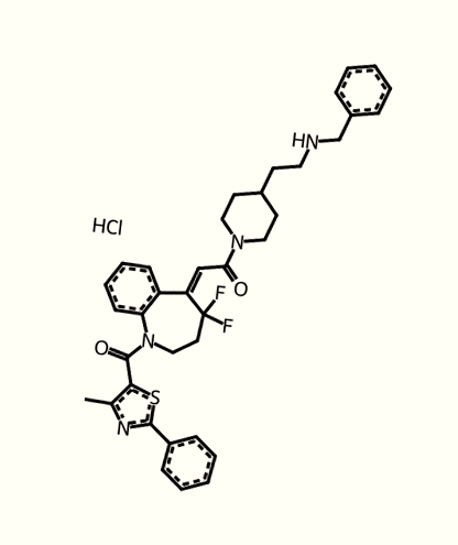 Cc1nc(-c2ccccc2)sc1C(=O)N1CCC(F)(F)C(=CC(=O)N2CCC(CCNCc3ccccc3)CC2)c2ccccc21.Cl